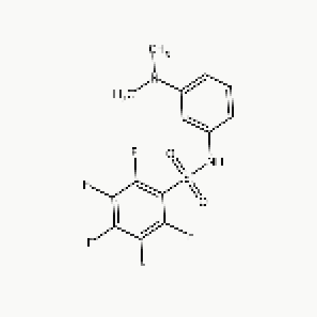 CN(C)c1cccc(NS(=O)(=O)c2c(F)c(F)c(F)c(F)c2F)c1